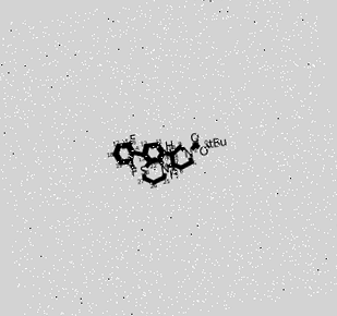 CC(C)(C)OC(=O)N1CC[C@H]2[C@@H](C1)c1ccc(-c3c(F)cccc3F)c3c1N2CCCS3